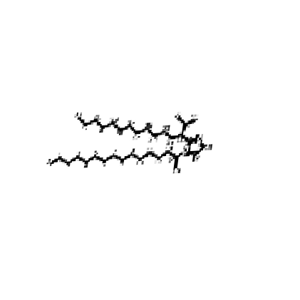 CCCCCCCCCCCCCCC(C)n1ccnc1C(CCCCCCCCCCCC)C(C)C